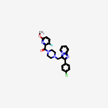 COc1ccc(F)c(C(=O)N2CCN(Cc3c(-c4ccc(Cl)cc4)nc4ccccn34)CC2)n1